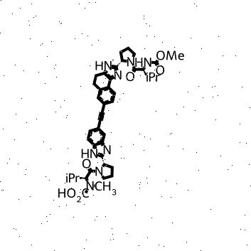 COC(=O)N[C@H](C(=O)N1CCC[C@H]1c1nc2c([nH]1)CCc1cc(C#Cc3ccc4[nH]c([C@@H]5CCCN5C(=O)[C@H](C(C)C)N(C)C(=O)O)nc4c3)ccc1-2)C(C)C